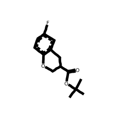 CC(C)(C)OC(=O)C1COc2ccc(F)cc2C1